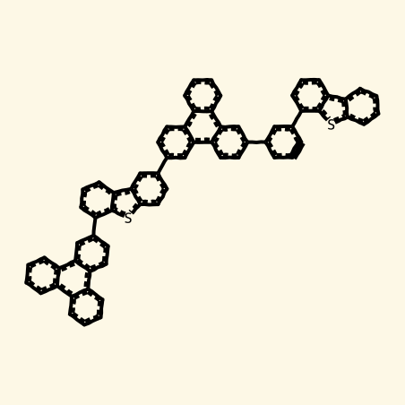 c1cc(-c2ccc3c(c2)c2ccccc2c2ccc(-c4ccc5sc6c(-c7ccc8c9ccccc9c9ccccc9c8c7)cccc6c5c4)cc23)cc(-c2cccc3c2sc2ccccc23)c#1